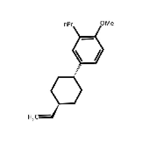 C=C[C@H]1CC[C@H](c2ccc(OC)c(CCC)c2)CC1